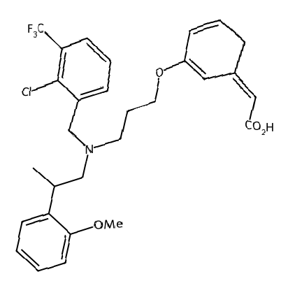 COc1ccccc1C(C)CN(CCCOC1=CC(=CC(=O)O)CC=C1)Cc1cccc(C(F)(F)F)c1Cl